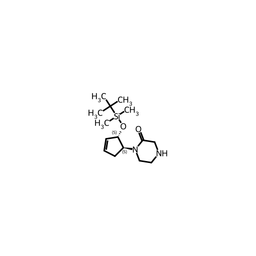 CC(C)(C)[Si](C)(C)O[C@H]1C=CC[C@@H]1N1CCNCC1=O